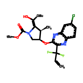 C=CC(F)(F)c1nc2ccc(Cl)cc2nc1O[C@H]1CN(C(=O)OC(C)(C)C)/C(=C(\O)OCC(C)C)[C@@H]1C